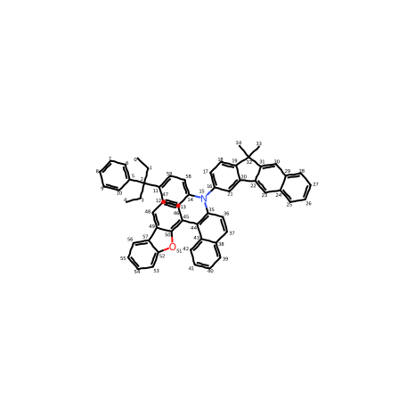 CCC(CC)(c1ccccc1)c1ccc(N(c2ccc3c(c2)-c2cc4ccccc4cc2C3(C)C)c2ccc3ccccc3c2-c2cccc3c2oc2ccccc23)cc1